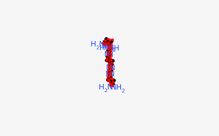 CC1(C)CC2(CC(C)(C)c3cc(N)c(N)cc32)C2=CC3Nc4cc5nc6cc7c(cc6nc5cc4NC3C=C21)C1(CC7(C)C)CC(C)(C)c2cc3nc4cc5nc6cc7c(cc6nc5cc4nc3cc21)C(C)(C)CC71CC(C)(C)c2cc(N)c(N)cc21